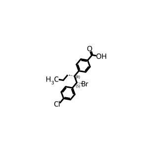 CCC[C@H](c1ccc(C(=O)O)cc1)[C@H](Br)c1ccc(Cl)cc1